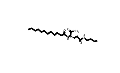 CCCCCCCCCCCC(=O)N[C@H](CCC(=O)NCCCC)C(N)=O